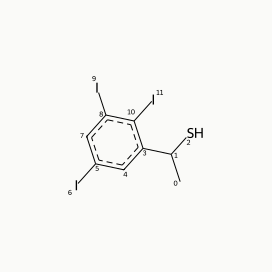 CC(S)c1cc(I)cc(I)c1I